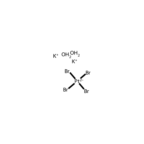 O.O.[Br][Pt-2]([Br])([Br])[Br].[K+].[K+]